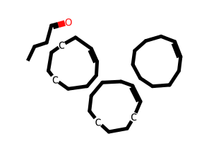 C1=CCCCCCCCC1.C1=CCCCCCCCC1.C1=CCCCCCCCC1.CCCC=O